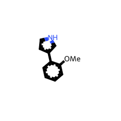 COc1ccccc1-c1cc[nH]c1